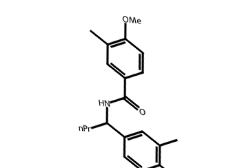 CCCC(NC(=O)c1ccc(OC)c(C)c1)c1ccc(OC)c(C)c1